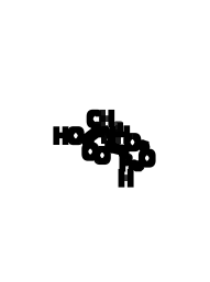 CC(NC(=O)C1OCOCP1)C(=O)O